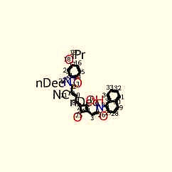 CCCCCCCCCCN1/C(=C\C2=C(O)C(=C\C=C(/C#N)c3oc4ccc(OC(C)C)cc4[n+]3CCCCCCCCCC)/C2=O)Oc2ccc3ccccc3c21